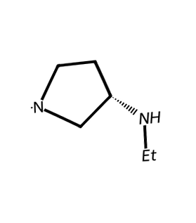 CCN[C@H]1CC[N]C1